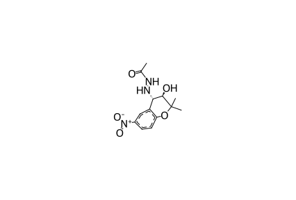 CC(=O)NN[C@H]1c2cc([N+](=O)[O-])ccc2OC(C)(C)[C@@H]1O